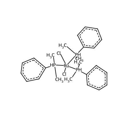 C[PH](C)(c1ccccc1)[Ru]([Cl])([Cl])([PH](C)(C)c1ccccc1)[PH](C)(C)c1ccccc1